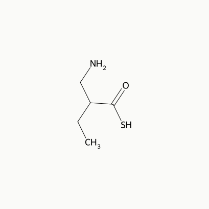 CCC(CN)C(=O)S